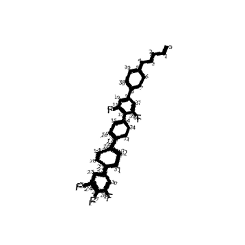 CCCCCC1CCC(c2cc(F)c(C3=CCC(C4CCC(c5cc(F)c(F)c(F)c5)CC4)CC3)c(F)c2)CC1